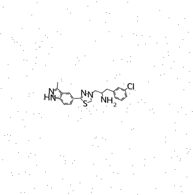 Cc1n[nH]c2ccc(C3=NN(CC(N)Cc4cccc(Cl)c4)CS3)cc12